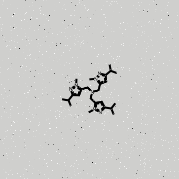 CC(C)c1cc(CN(Cc2cc(C(C)C)nn2C)Cc2cc(C(C)C)nn2C)n(C)n1